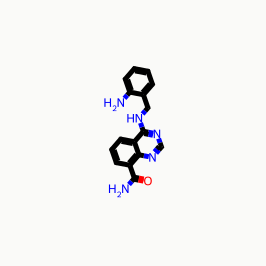 NC(=O)c1cccc2c(NCc3ccccc3N)ncnc12